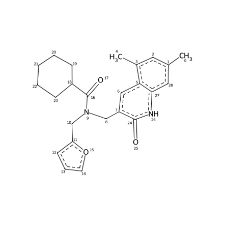 Cc1cc(C)c2cc(CN(Cc3ccco3)C(=O)C3CCCCC3)c(=O)[nH]c2c1